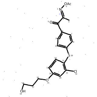 CC(=O)O/N=C(\C)C(=O)c1ccc(Sc2ccc(OCCCO)cc2Cl)cc1